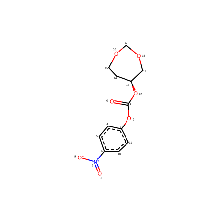 O=C(Oc1ccc([N+](=O)[O-])cc1)O[C@H]1CCOCOC1